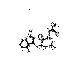 Cc1cccc2[nH]cc(SC(CC(C)C)C(=O)NCC(=O)O)c12